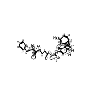 C[C@H](OC(=O)CCNC(=O)[C@@H](N)Cc1ccccc1)C(=O)OC1=CC[C@@]2(O)[C@@H]3CCC[C@@]24c2c(ccc(O)c2O[C@@H]14)C3